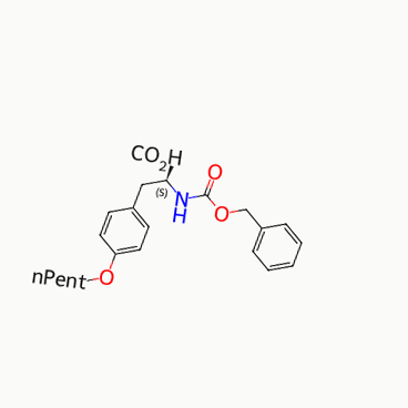 CCCCCOc1ccc(C[C@H](NC(=O)OCc2ccccc2)C(=O)O)cc1